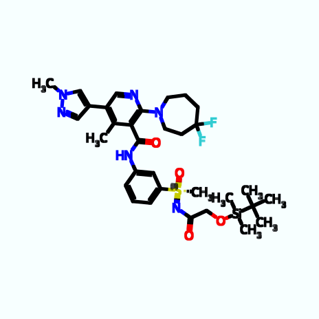 Cc1c(-c2cnn(C)c2)cnc(N2CCCC(F)(F)CC2)c1C(=O)Nc1cccc([S@@](C)(=O)=NC(=O)CO[Si](C)(C)C(C)(C)C)c1